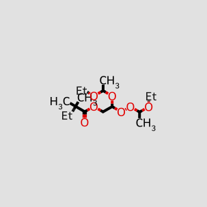 CCOC(C)OOC(COC(=O)C(C)(C)CC)OC(C)OCC